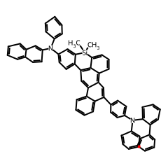 C[Si]1(C)c2cc(N(c3ccccc3)c3ccc4ccccc4c3)ccc2-c2cc3c4ccccc4c(-c4ccc(N(c5ccccc5)c5ccccc5-c5ccccc5)cc4)cc3c3cccc1c23